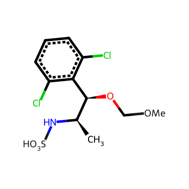 COCO[C@H](c1c(Cl)cccc1Cl)[C@@H](C)NS(=O)(=O)O